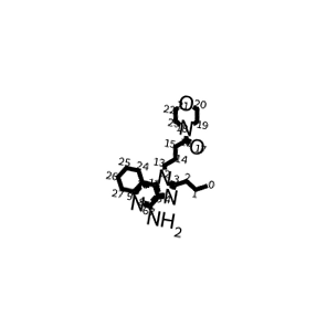 CCCc1nc2c(N)nc3c(c2n1CCCC(=O)N1CCOCC1)CCCC3